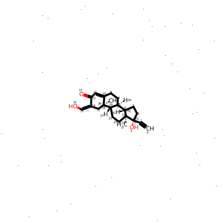 C#C[C@]1(O)CC[C@H]2[C@@H]3CCC4=CC(=O)/C(=C\O)C[C@]4(C)[C@H]3CC[C@@]21C